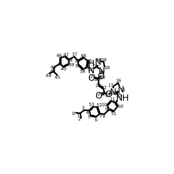 CC(C)Cc1ccc(Cc2ccc(NC3=NCCN3OC(=O)/C=C/C(=O)ON3CCN=C3Nc3ccc(Cc4ccc(CC(C)C)cc4)cc3)cc2)cc1